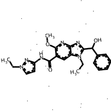 CCn1ccc(NC(=O)c2cc3c(nc2OC)nc(C(O)c2ccccc2)n3CC)n1